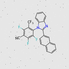 N#Cc1c(F)c(F)c(-n2c(-c3ccc4ccccc4c3)nc3ccccc32)c(C(F)(F)F)c1F